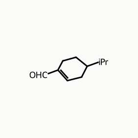 CC(C)C1CC=C(C=O)CC1